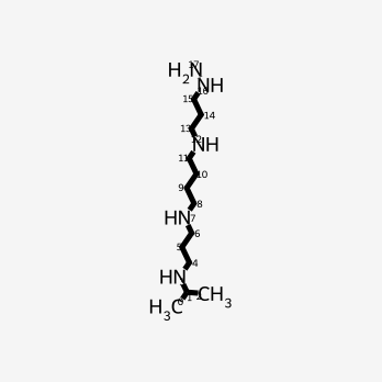 CC(C)NCCCNCCCCNCCCNN